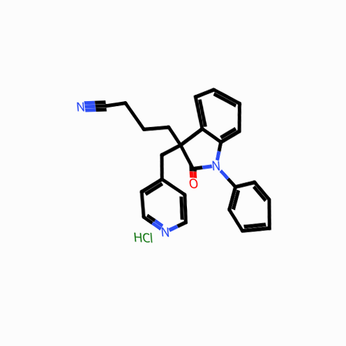 Cl.N#CCCCC1(Cc2ccncc2)C(=O)N(c2ccccc2)c2ccccc21